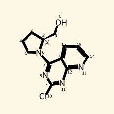 OC[C@@H]1CCCN1c1nc(Cl)nc2ncccc12